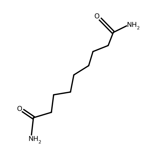 NC(=O)CCCCCCCC(N)=O